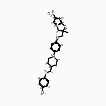 CC1(COc2ccc(N3CCC(COc4ccc(C(F)(F)F)cc4)CC3)cc2)Cn2cc([N+](=O)[O-])nc2O1